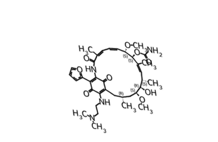 CO[C@H]1C=CC=C(C)C(=O)NC2=C(c3ccco3)C(=O)C(NCCN(C)C)=C(C[C@@H](C)C[C@H](OC)[C@H](O)[C@@H](C)C=C(C)[C@@H]1OC(N)=O)C2=O